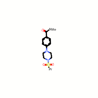 CNC(=O)c1ccc(N2CCN(S(=O)(=O)C(C)C)CC2)cc1